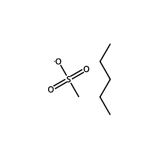 CCCCC.CS([O])(=O)=O